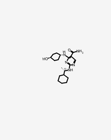 C[C@H](Nc1ncc(C(N)=O)c(N[C@H]2CC[C@H](O)CC2)n1)C1CCCCC1